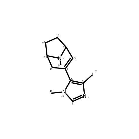 CN1C2C=C(c3c(I)ncn3C)CC1CC2